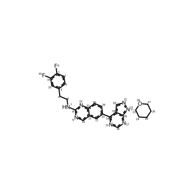 Fc1ccc(CCNc2ncc3cc(-c4ncnc5c4cnn5[C@H]4CCCCO4)ccc3n2)cc1F